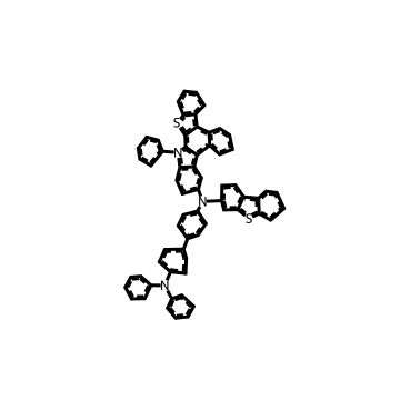 c1ccc(N(c2ccccc2)c2ccc(-c3ccc(N(c4ccc5c(c4)sc4ccccc45)c4ccc5c(c4)c4c6ccccc6c6c7ccccc7sc6c4n5-c4ccccc4)cc3)cc2)cc1